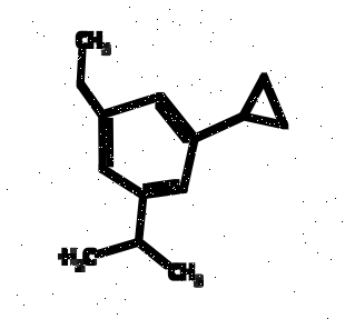 [CH2]C(C)c1cc(CC)cc(C2CC2)c1